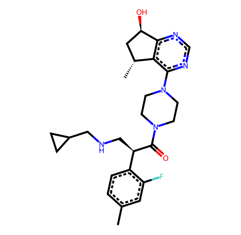 Cc1ccc([C@@H](CNCC2CC2)C(=O)N2CCN(c3ncnc4c3[C@H](C)C[C@H]4O)CC2)c(F)c1